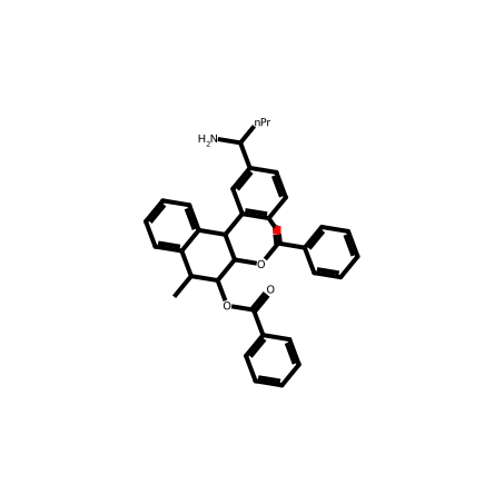 CCCC(N)c1ccc(C)c(C2c3ccccc3C(C)C(OC(=O)c3ccccc3)C2OC(=O)c2ccccc2)c1